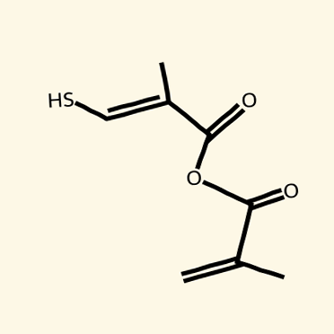 C=C(C)C(=O)OC(=O)C(C)=CS